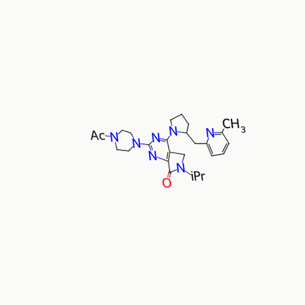 CC(=O)N1CCN(c2nc3c(c(N4CCCC4Cc4cccc(C)n4)n2)CN(C(C)C)C3=O)CC1